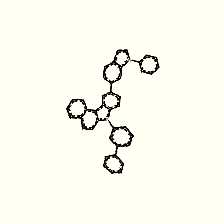 c1ccc(-c2cccc(-n3c4ccc(-c5ccc6ccn(-c7ccccc7)c6c5)cc4c4c5ccccc5ccc43)c2)cc1